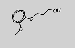 COc1ccccc1O[CH]CCO